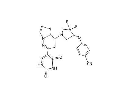 N#Cc1ccc(OC2CN(c3cc(-c4c[nH]c(=O)[nH]c4=O)nn4ccnc34)CC2(F)F)cc1